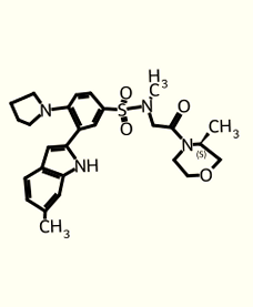 Cc1ccc2cc(-c3cc(S(=O)(=O)N(C)CC(=O)N4CCOC[C@@H]4C)ccc3N3CCCC3)[nH]c2c1